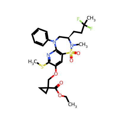 CCOC(=O)C1(COc2cc3c(nc2SC)N(c2ccccc2)C[C@@H](CCC(C)(F)F)N(C)S3(=O)=O)CC1